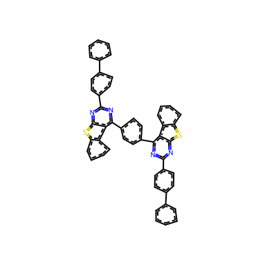 c1ccc(-c2ccc(-c3nc(-c4ccc(-c5nc(-c6ccc(-c7ccccc7)cc6)nc6sc7ccccc7c56)cc4)c4c(n3)sc3ccccc34)cc2)cc1